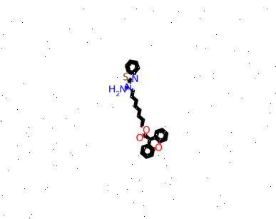 NN(CCCCCCCCOC(=O)C1c2ccccc2Oc2ccccc21)c1nc2ccccc2s1